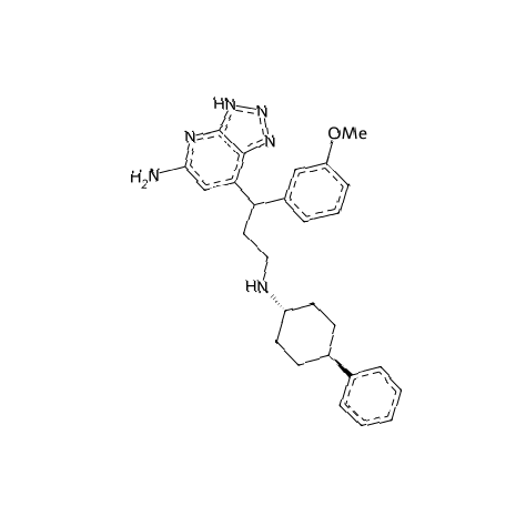 COc1cccc(C(CCN[C@H]2CC[C@H](c3ccccc3)CC2)c2cc(N)nc3[nH]nnc23)c1